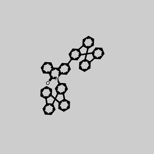 O=c1c2ccccc2c2cc(-c3ccc4c(c3)C3(c5ccccc5-c5ccccc53)c3ccccc3-4)ccc2n1-c1ccc2c(c1)C1(c3ccccc3-c3ccccc31)c1ccccc1-2